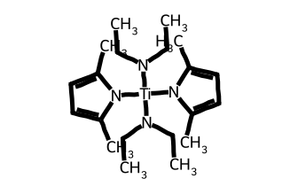 CC[N](CC)[Ti]([N](CC)CC)([n]1c(C)ccc1C)[n]1c(C)ccc1C